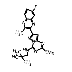 CSc1nc(NCC(C)(C)O)n2nc(-c3nc4cc(F)ccc4nc3C)cc2n1